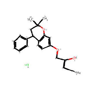 CNCC(O)COc1ccc2c(c1)OC(C)(C)CC2c1ccccc1.Cl